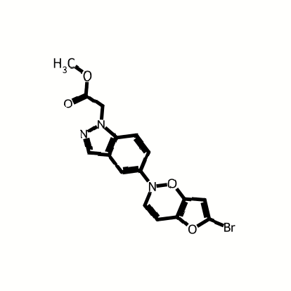 COC(=O)Cn1ncc2cc(N3C=Cc4oc(Br)cc4O3)ccc21